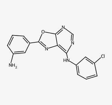 Nc1cccc(-c2nc3c(Nc4cccc(Cl)c4)ncnc3o2)c1